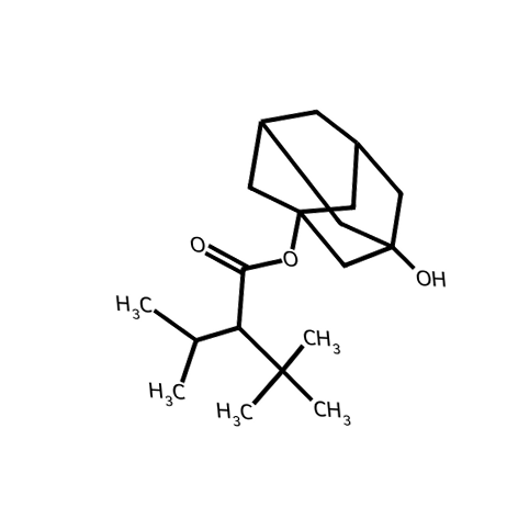 CC(C)C(C(=O)OC12CC3CC(CC(O)(C3)C1)C2)C(C)(C)C